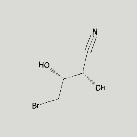 N#C[C@H](O)[C@@H](O)CBr